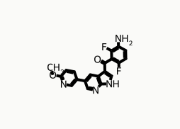 COc1ccc(-c2cnc3[nH]cc(C(=O)c4c(F)ccc(N)c4F)c3c2)cn1